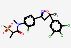 CCS(=O)(=O)C(C)C(=O)N(C)c1ccc(C2=NOC(c3cc(Cl)c(Cl)c(Cl)c3)(C(F)(F)F)C2)cc1Cl